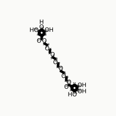 O=C(OCCOCCOCCOCCOCCOCCOC(=O)c1cc(O)c(O)c(O)c1)c1cc(O)c(O)c(O)c1